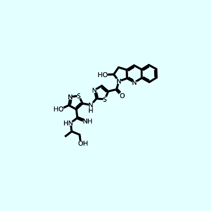 CC(CO)NC(=N)c1c(O)nsc1Nc1ncc(C(=O)N2c3nc4ccccc4cc3CC2O)s1